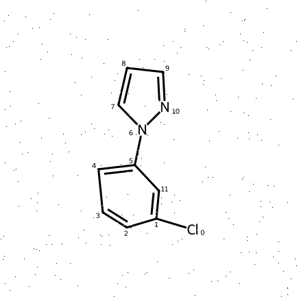 Clc1[c]ccc(-n2cccn2)c1